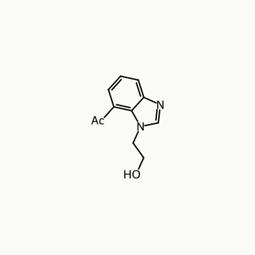 CC(=O)c1cccc2ncn(CCO)c12